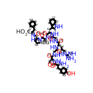 CC[C@H](C)[C@H](NC(=O)[C@H](Cc1c[nH]c2ccccc12)NC(=O)CNC(=O)[C@H](CCCNC(=N)N)NC(=O)CNC(=O)[C@H](CO)NC(=O)[C@@H](N)Cc1ccc(O)cc1)C(=O)N1CCC[C@H]1C(=O)N[C@@H](Cc1ccccc1)C(=O)O